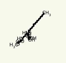 CCC=CCC=CCC=CCC=CCC=CCCCC(=O)N[C@@H](CCCCNC(=O)C=CC(=O)OC)C(=O)OC(CO)CO